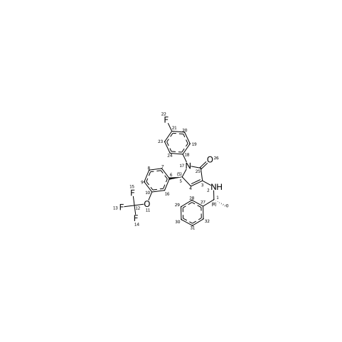 C[C@@H](NC1=C[C@@H](c2cccc(OC(F)(F)F)c2)N(c2ccc(F)cc2)C1=O)c1ccccc1